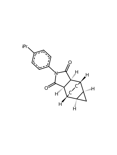 CC(C)c1ccc(N2C(=O)[C@@H]3[C@@H]4CC[C@@H]([C@H]5C[C@H]54)[C@@H]3C2=O)cc1